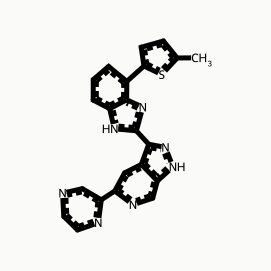 Cc1ccc(-c2cccc3[nH]c(-c4n[nH]c5cnc(-c6cnccn6)cc45)nc23)s1